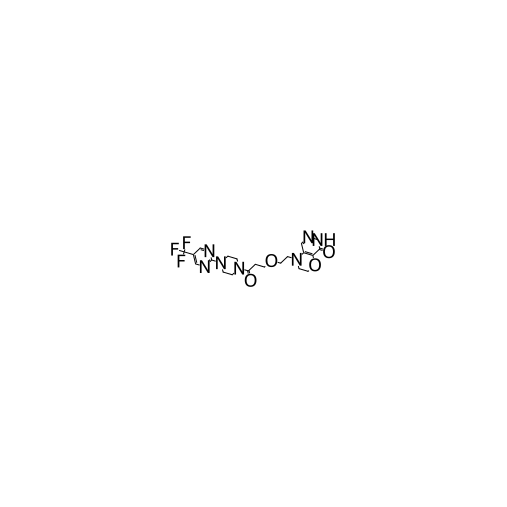 O=C(CCOCCN1CCOc2c1cn[nH]c2=O)N1CCN(c2ncc(C(F)(F)F)cn2)CC1